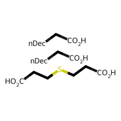 CCCCCCCCCCCC(=O)O.CCCCCCCCCCCC(=O)O.O=C(O)CCSCCC(=O)O